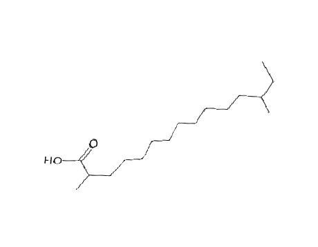 CCC(C)CCCCCCCCCCC(C)C(=O)O